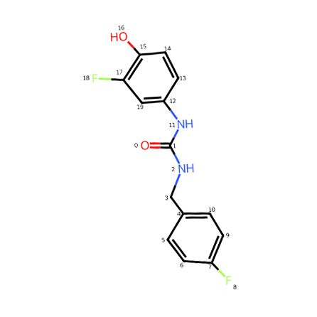 O=C(NCc1ccc(F)cc1)Nc1ccc(O)c(F)c1